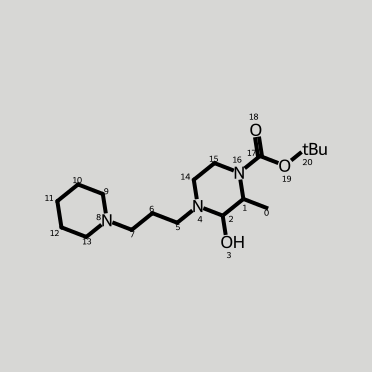 CC1C(O)N(CCCN2CCCCC2)CCN1C(=O)OC(C)(C)C